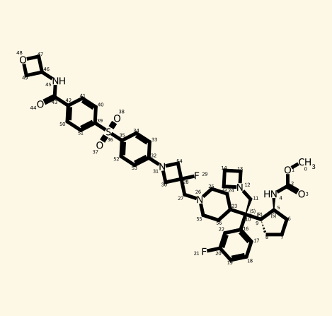 COC(=O)N[C@H]1CCC[C@@H]1[C@](CN1CCC1)(c1cccc(F)c1)C1CCN(CC2(F)CN(c3ccc(S(=O)(=O)c4ccc(C(=O)NC5COC5)cc4)cc3)C2)CC1